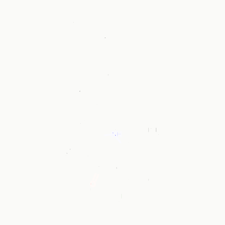 Bc1ccc(Cl)c2c(=O)c(C(C)=O)c(SCCc3cccc(F)c3)[nH]c12